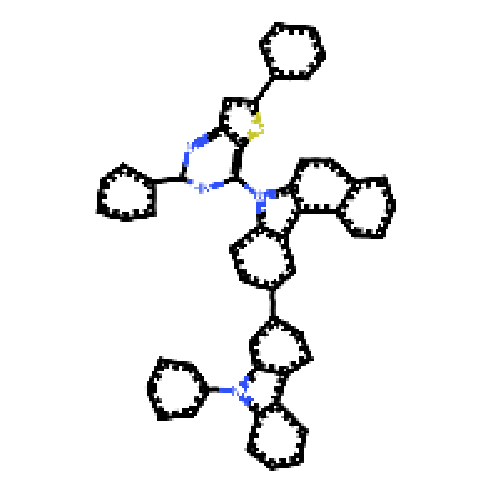 c1ccc(-c2cc3c(s2)=C(n2c4ccc(-c5ccc6c7ccccc7n(-c7ccccc7)c6c5)cc4c4c5ccccc5ccc42)NC(c2ccccc2)N=3)cc1